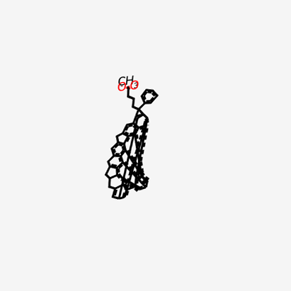 COC(=O)CCCC1(c2ccccc2)C2c3cc4c5c6c(cc7c8c9c%10c%11c%12c%13c%14c%15c(c%16c3c5c3c%16c%14c%12c9c3c68)C21CC%15C=C%13CC%11CC=%10C7)C4